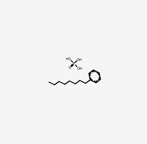 CCCCCCCCc1ccccc1.O=P(O)(O)O